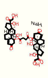 C[C@]12C[C@H](O)[C@H]3[C@@H](CCC4=CC(=O)CC(OC(=O)CCC(=O)OC5CC(=O)C=C6CC[C@@H]7[C@H]([C@@H](O)C[C@@]8(C)[C@H]7CC[C@]8(O)C(=O)CO)[C@]65C)[C@@]43C)[C@@H]1CC[C@]2(O)C(=O)CO.[NaH]